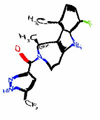 Cc1ccc(F)c2[nH]c3c(c12)[C@H](C)N(C(=O)c1cc(C(F)(F)F)[nH]n1)CC3